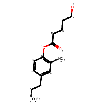 CCOC(=O)CCc1ccc(OC(=O)CCCCO)c([N+](=O)[O-])c1